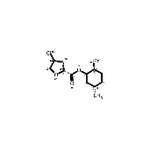 CC(C)[C@H]1CC[C@H](C)CC1OC(=O)[C@@H]1OCC(Cl)S1